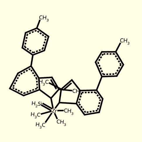 CC1=Cc2c(-c3ccc(C)cc3)cccc2[CH]1[Zr]([CH3])([CH3])([CH3])([CH3])(=[SiH2])[CH]1C(C)=Cc2c(-c3ccc(C)cc3)cccc21